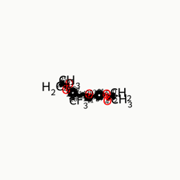 C=C(C)C(=O)Oc1ccc(-c2ccc(/C=C/c3ccc(OC(=O)C(=C)C)cc3C(F)(F)F)o2)cc1